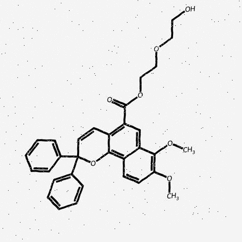 COc1ccc2c3c(c(C(=O)OCCOCCO)cc2c1OC)C=CC(c1ccccc1)(c1ccccc1)O3